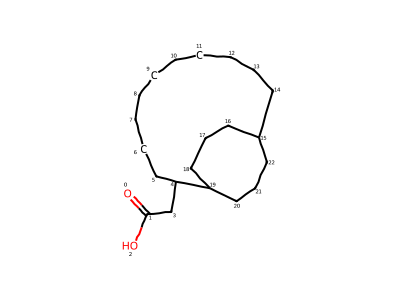 O=C(O)CC1CCCCCCCCCCC2CCCC1CCC2